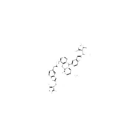 COc1cc(OC)c(Cc2ccccc2NC(=O)Cc2ccc3oc(C(O)c4c(C)noc4C)cc3c2)c(C(C(=O)O)c2ccc3oc(C(O)c4c(C)noc4C)cc3c2)c1